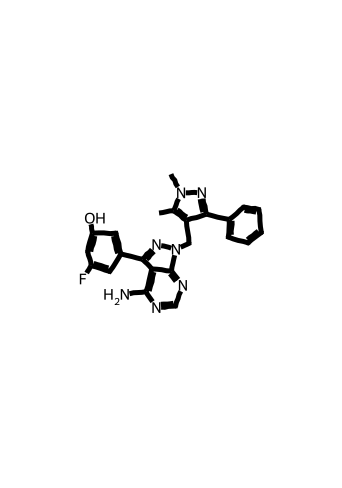 Cc1c(Cn2nc(-c3cc(O)cc(F)c3)c3c(N)ncnc32)c(-c2ccccc2)nn1C